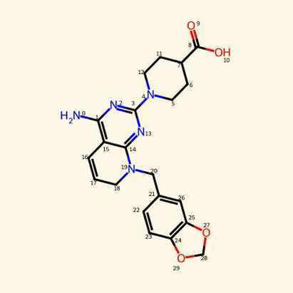 Nc1nc(N2CCC(C(=O)O)CC2)nc2c1C=CCN2Cc1ccc2c(c1)OCO2